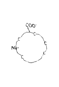 O=C([O-])C1CCCCCCCCCCCCCCCC1.[Na+]